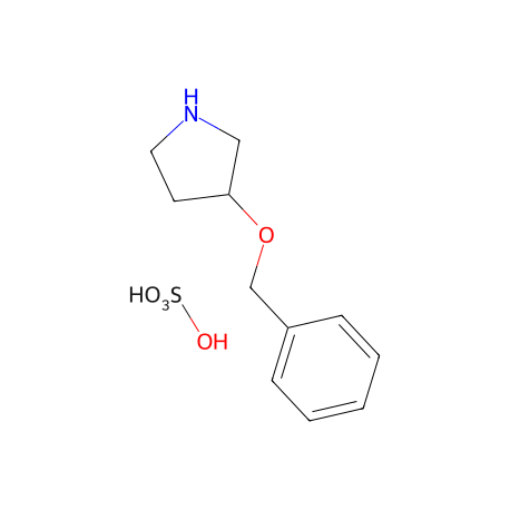 O=S(=O)(O)O.c1ccc(COC2CCNC2)cc1